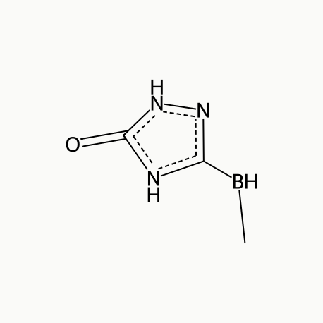 CBc1n[nH]c(=O)[nH]1